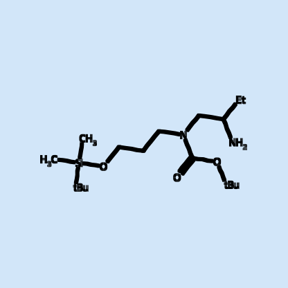 CCC(N)CN(CCCO[Si](C)(C)C(C)(C)C)C(=O)OC(C)(C)C